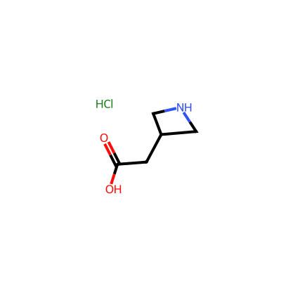 Cl.O=C(O)CC1CNC1